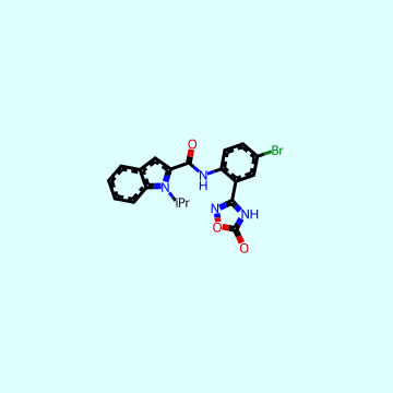 CC(C)n1c(C(=O)Nc2ccc(Br)cc2-c2noc(=O)[nH]2)cc2ccccc21